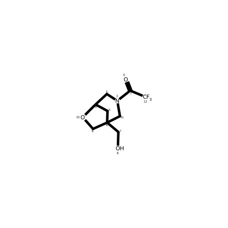 O=C(N1CC2CC(CO)(CO2)C1)C(F)(F)F